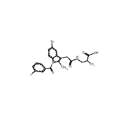 Cc1c(CC(=O)NCC(C)C(=O)O)c2cc(O)ccc2n1C(=O)c1cccc(F)c1